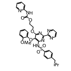 COc1ccccc1Oc1c(NS(=O)(=O)c2ccc(CC(C)C)cc2)nc(-c2ncccn2)nc1OCCOC(=O)Nc1ccccn1